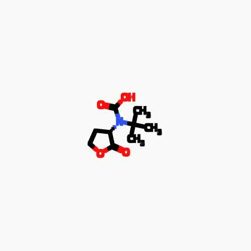 CC(C)(C)N(C(=O)O)[C@H]1CCOC1=O